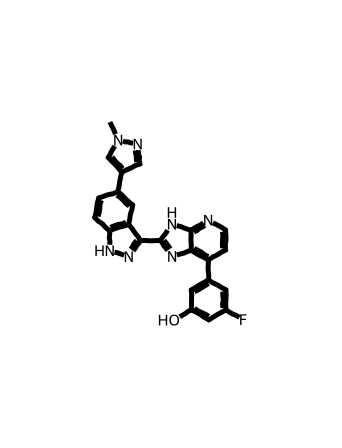 Cn1cc(-c2ccc3[nH]nc(-c4nc5c(-c6cc(O)cc(F)c6)ccnc5[nH]4)c3c2)cn1